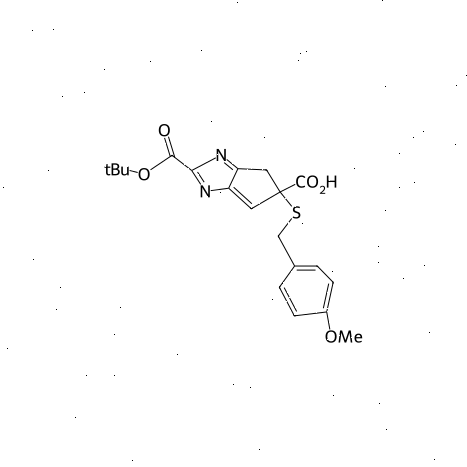 COc1ccc(CSC2(C(=O)O)C=C3N=C(C(=O)OC(C)(C)C)N=C3C2)cc1